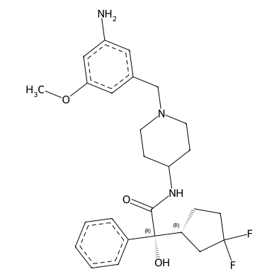 COc1cc(N)cc(CN2CCC(NC(=O)[C@](O)(c3ccccc3)[C@@H]3CCC(F)(F)C3)CC2)c1